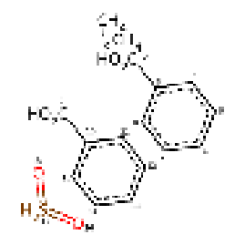 C.C.O=C(O)c1ccccc1.O=C(O)c1ccccc1.O=[SH2]=O